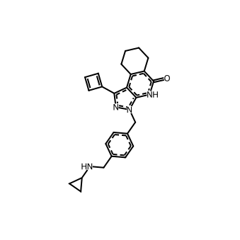 O=c1[nH]c2c(c(C3=CC=C3)nn2Cc2ccc(CNC3CC3)cc2)c2c1CCCC2